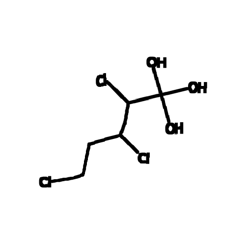 OC(O)(O)C(Cl)C(Cl)CCCl